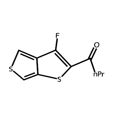 CCCC(=O)c1sc2cscc2c1F